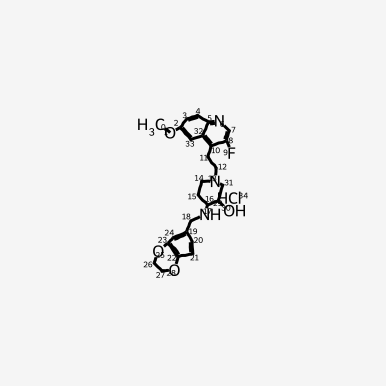 COc1ccc2ncc(F)c(CCN3CCC(NCc4ccc5c(c4)OCCO5)C(O)C3)c2c1.Cl